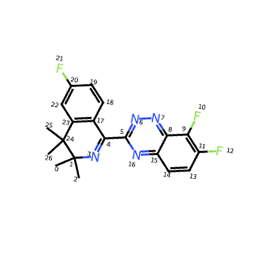 CC1(C)N=C(c2nnc3c(F)c(F)ccc3n2)c2ccc(F)cc2C1(C)C